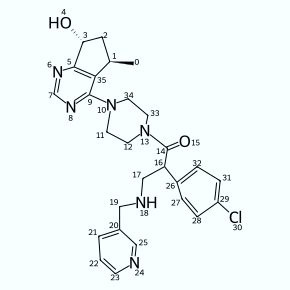 C[C@@H]1C[C@@H](O)c2ncnc(N3CCN(C(=O)C(CNCc4cccnc4)c4ccc(Cl)cc4)CC3)c21